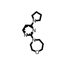 c1cc(N2CCCC2)nc(N2CCCOCC2)n1